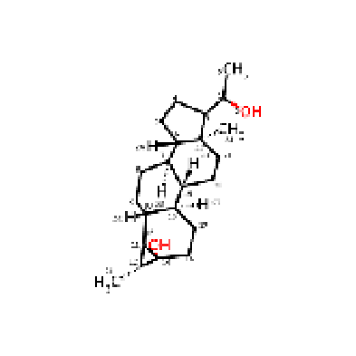 CC(O)C1CC[C@H]2[C@@H]3CC[C@H]4C5[C@@H](C)[C@@]5(O)CC[C@@H]4[C@H]3CC[C@]12C